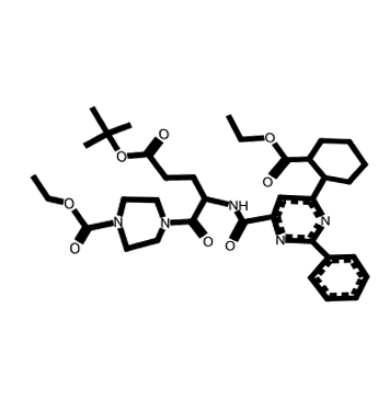 CCOC(=O)C1CCCCC1c1cc(C(=O)NC(CCC(=O)OC(C)(C)C)C(=O)N2CCN(C(=O)OCC)CC2)nc(-c2ccccc2)n1